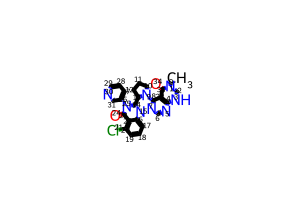 CN1CNc2ncnc(N3CCCC3c3nc4cccc(Cl)c4c(=O)n3-c3cccnc3)c2C1=O